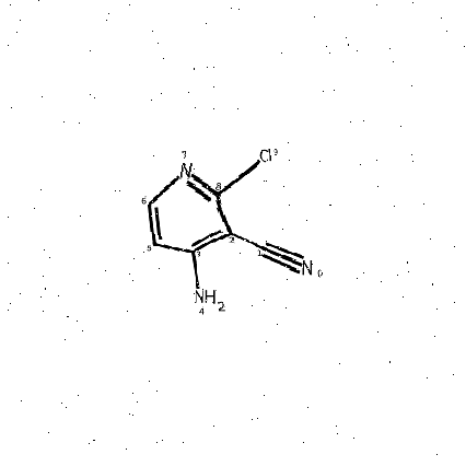 N#Cc1c(N)ccnc1Cl